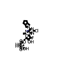 C=C/N=c1/c(N2CC3CCCC3C2)nc(Cl)nn1[C@@H]1O[C@H](COP(=O)(O)CP(=O)(O)O)[C@@H](O)[C@@H]1F